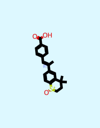 C/C(=C\c1ccc(C(=O)O)cc1)c1ccc2c(c1)C(C)(C)CC[S+]2[O-]